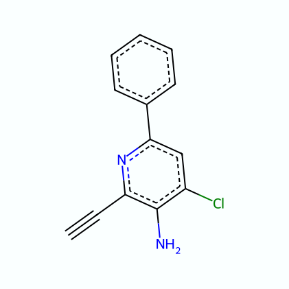 C#Cc1nc(-c2ccccc2)cc(Cl)c1N